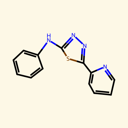 c1ccc(Nc2nnc(-c3ccccn3)s2)cc1